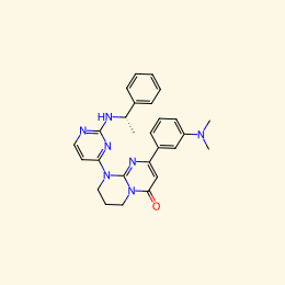 C[C@H](Nc1nccc(N2CCCn3c2nc(-c2cccc(N(C)C)c2)cc3=O)n1)c1ccccc1